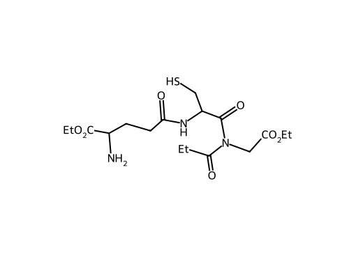 CCOC(=O)CN(C(=O)CC)C(=O)C(CS)NC(=O)CCC(N)C(=O)OCC